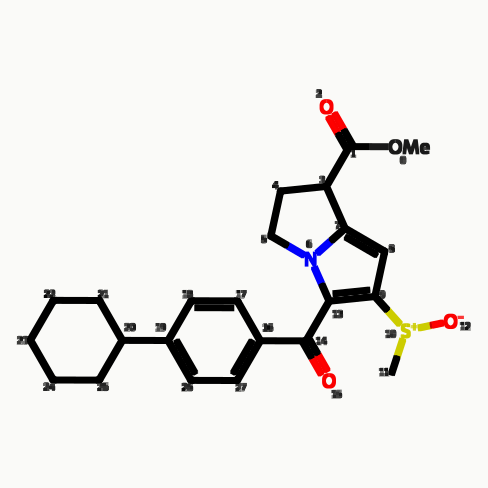 COC(=O)C1CCn2c1cc([S+](C)[O-])c2C(=O)c1ccc(C2CCCCC2)cc1